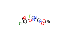 CC(C)(C)OC(=O)N1CC=C(c2ncc(F)c(OCc3ccc(Cl)c4ccoc34)n2)CC1